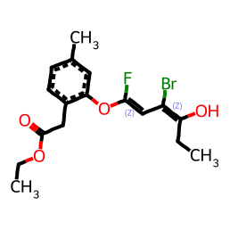 CCOC(=O)Cc1ccc(C)cc1O/C(F)=C/C(Br)=C(/O)CC